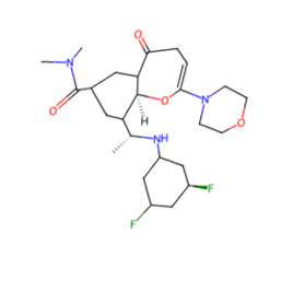 C[C@@H](NC1CC(F)C[C@H](F)C1)C1CC(C(=O)N(C)C)CC2C(=O)CC=C(N3CCOCC3)O[C@H]21